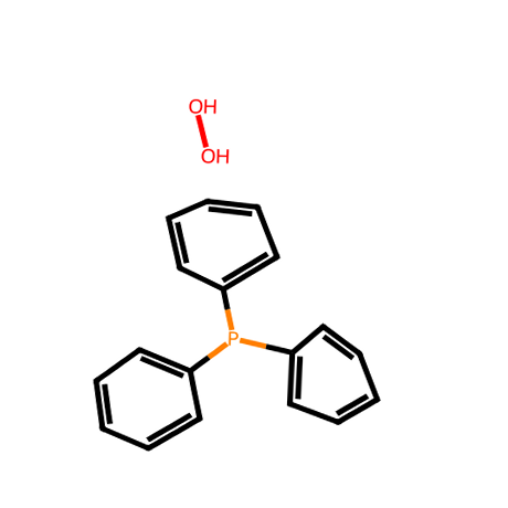 OO.c1ccc(P(c2ccccc2)c2ccccc2)cc1